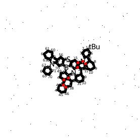 CC(C)(C)c1ccc2c(c1)c1ccccc1n2-c1cc2c3c(c1)N(c1c(-c4ccccc4)cccc1-c1ccccc1)c1cc(-c4ccccc4)ccc1B3c1cc3c(cc1S2)c1ccccc1n3-c1ccccc1